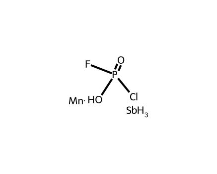 O=P(O)(F)Cl.[Mn].[SbH3]